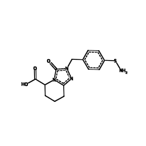 NSc1ccc(Cn2nc3n(c2=O)C(C(=O)O)CCC3)cc1